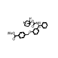 COC(=O)c1ccc(COc2cccc([C@@H](NC(=O)O[C@H]3CN4CCC3CC4)c3ccccc3)c2)cc1